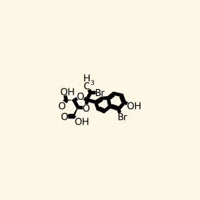 CC(Br)C1(c2ccc3c(Br)c(O)ccc3c2)O[C@@H](C(=O)O)[C@H](C(=O)O)O1